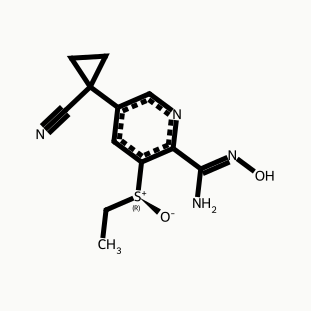 CC[S@+]([O-])c1cc(C2(C#N)CC2)cnc1C(N)=NO